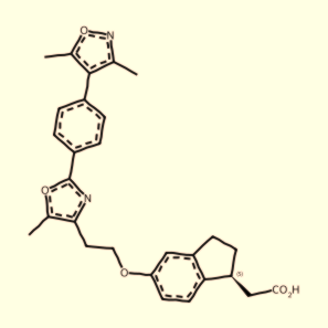 Cc1noc(C)c1-c1ccc(-c2nc(CCOc3ccc4c(c3)CC[C@H]4CC(=O)O)c(C)o2)cc1